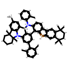 CCCCc1cc2c3c(c1)C1(C)CCCCC1(C)N3c1cc(-c3c(C)cccc3C)cc3c1B2N(c1ccccc1C)c1ccc2c(sc4cc5c(cc42)C(C)(C)CCC5(C)C)c1-3